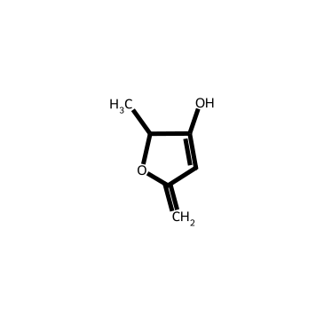 C=C1C=C(O)C(C)O1